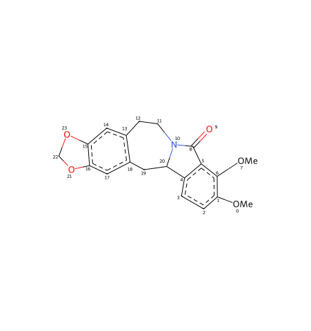 COc1ccc2c(c1OC)C(=O)N1CCc3cc4c(cc3CC21)OCO4